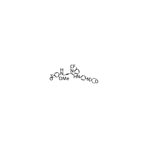 COc1cc([S+](C)[O-])ccc1NCC#Cc1cc2c(Nc3ccc(N4CC5(CCOCC5)C4)cc3)cccc2n1CC(F)(F)F